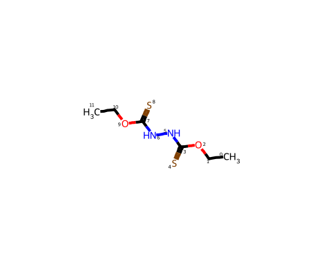 CCOC(=S)NNC(=S)OCC